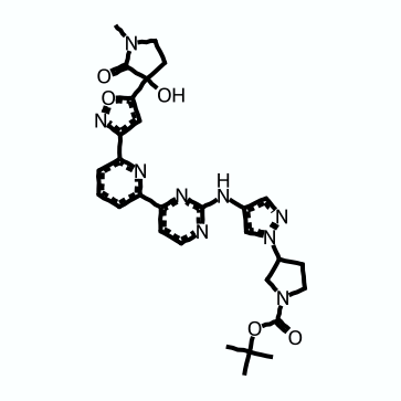 CN1CCC(O)(c2cc(-c3cccc(-c4ccnc(Nc5cnn(C6CCN(C(=O)OC(C)(C)C)C6)c5)n4)n3)no2)C1=O